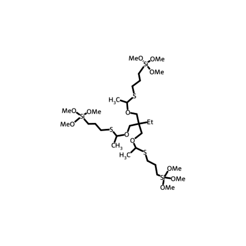 CCC(COC(C)SCCC[Si](OC)(OC)OC)(COC(C)SCCC[Si](OC)(OC)OC)COC(C)SCCC[Si](OC)(OC)OC